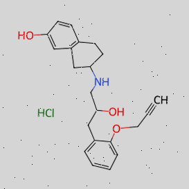 C#CCOc1ccccc1CC(O)CNC1CCc2ccc(O)cc2C1.Cl